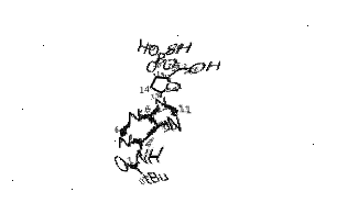 CC(C)(C)C(=O)Nc1ncnc2c1ncn2[C@H]1C[C@H](OP(=O)(O)S)[C@@H](CO)O1